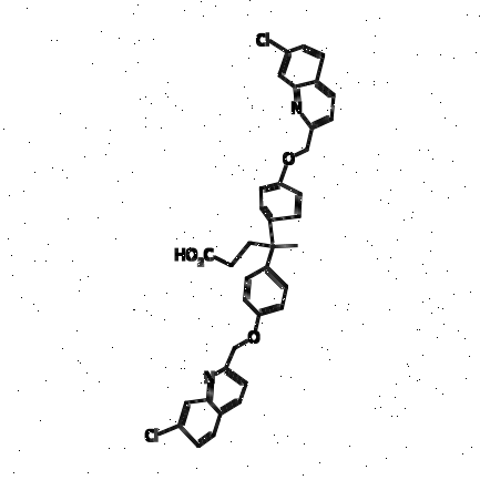 CC(CCC(=O)O)(c1ccc(OCc2ccc3ccc(Cl)cc3n2)cc1)c1ccc(OCc2ccc3ccc(Cl)cc3n2)cc1